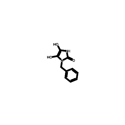 O=c1[nH]c(O)c(O)n1Cc1ccccc1